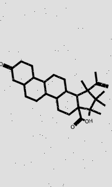 C=C(C)C1(C)C2C3CCC4C5CCC(=O)CC5CCC4C3CCC2(C(=O)O)C(C)(C)C1(C)C